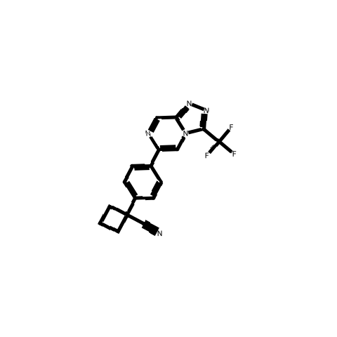 N#CC1(c2ccc(-c3cn4c(C(F)(F)F)nnc4cn3)cc2)CCC1